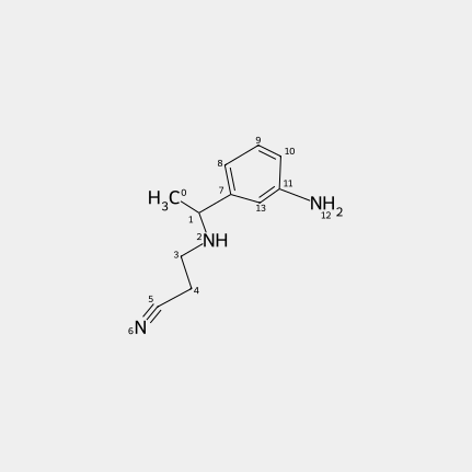 CC(NCCC#N)c1cccc(N)c1